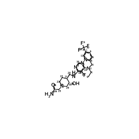 CCN(Cc1ccc(C(F)(F)F)cn1)c1ncnc(NC[C@@H]2CCN(CC(N)=O)C[C@H]2O)c1F